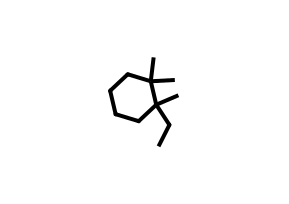 CCC1(C)CCCCC1(C)C